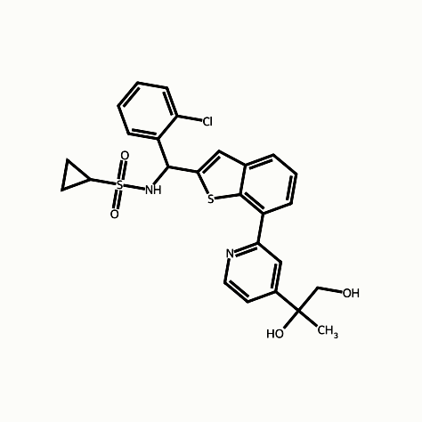 CC(O)(CO)c1ccnc(-c2cccc3cc(C(NS(=O)(=O)C4CC4)c4ccccc4Cl)sc23)c1